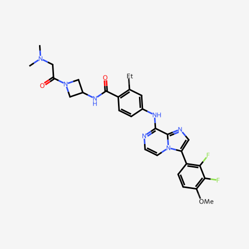 CCc1cc(Nc2nccn3c(-c4ccc(OC)c(F)c4F)cnc23)ccc1C(=O)NC1CN(C(=O)CN(C)C)C1